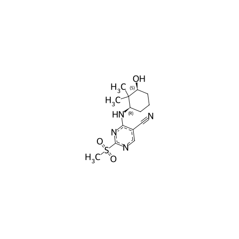 CC1(C)[C@@H](O)CCC[C@H]1Nc1nc(S(C)(=O)=O)ncc1C#N